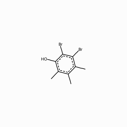 Cc1c(C)c(O)c(Br)c(Br)c1C